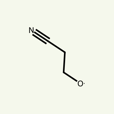 N#CCC[O]